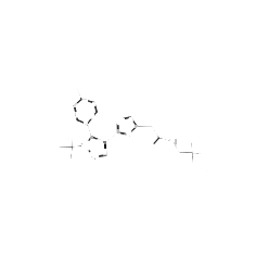 CC(C)(O)CNC(=O)Cc1csc(-c2cnn(C(C)(C)C)c2-c2ccc(F)cc2)n1